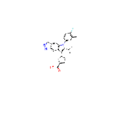 Cc1cc(-n2c(C(C)C)c([C@@H]3CC[C@@H](C(=O)O)C3)c3cc4[nH]ncc4cc32)ccc1F